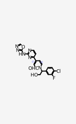 C/C=C(\C=C/N(C=O)C(CO)c1ccc(Cl)c(F)c1)c1ccnc(Nc2nnco2)n1